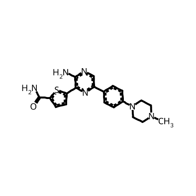 CN1CCN(c2ccc(-c3cnc(N)c(-c4ccc(C(N)=O)s4)n3)cc2)CC1